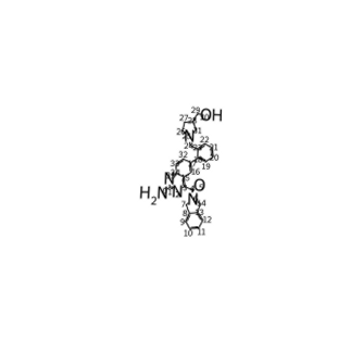 Nc1nc(C(=O)N2Cc3ccccc3C2)c2cc(-c3ccccc3CN3CCC(CO)C3)ccc2n1